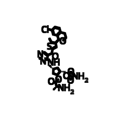 Cc1sc(C(=O)c2cncnc2NC[C@@H]2C[C@H](COS(N)(=O)=O)[C@@H](OC(=O)[C@H](C)N)C2)cc1C1OCCc2ccc(Cl)cc21